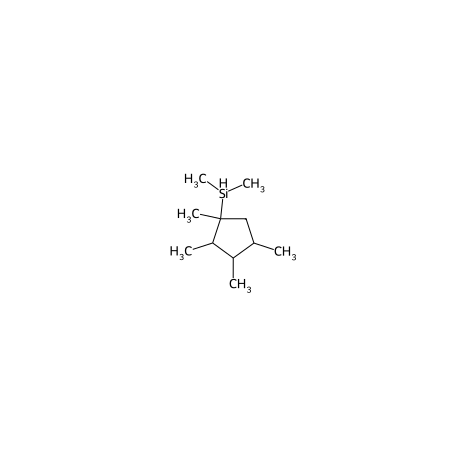 CC1CC(C)([SiH](C)C)C(C)C1C